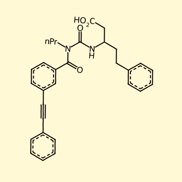 CCCN(C(=O)NC(CCc1ccccc1)CC(=O)O)C(=O)c1cccc(C#Cc2ccccc2)c1